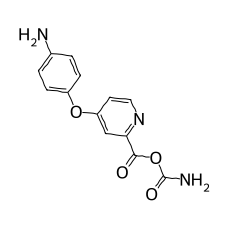 NC(=O)OC(=O)c1cc(Oc2ccc(N)cc2)ccn1